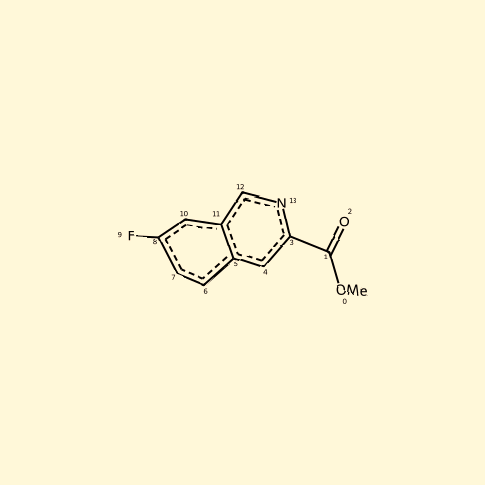 COC(=O)c1cc2ccc(F)cc2cn1